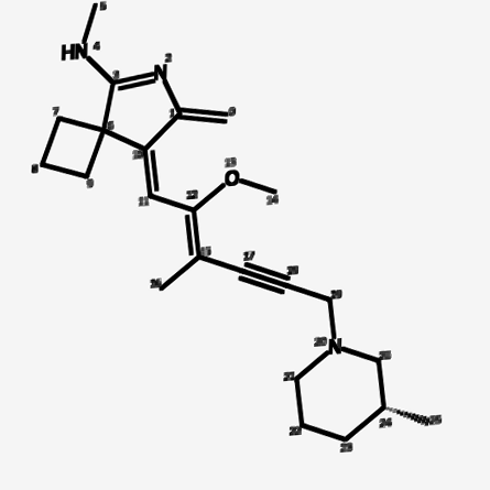 C=C1N=C(NC)C2(CCC2)/C1=C/C(OC)=C(\C)C#CCN1CCC[C@@H](C)C1